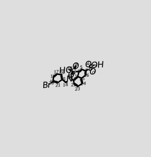 O=S(=O)(O)c1cc(S(=O)(=O)O)c2c(N=Cc3cccc(Br)c3)cccc2c1